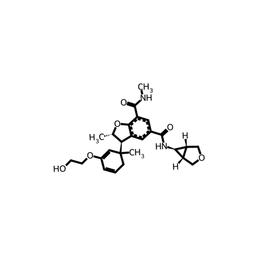 CNC(=O)c1cc(C(=O)N[C@H]2[C@@H]3COC[C@@H]32)cc2c1O[C@@H](C)[C@@H]2C1(C)C=C(OCCO)C=CC1